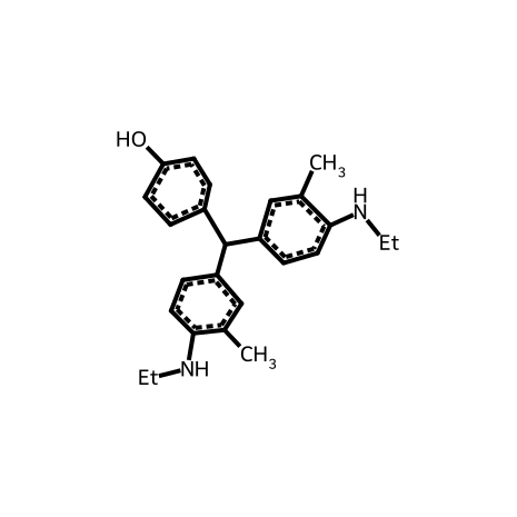 CCNc1ccc(C(c2ccc(O)cc2)c2ccc(NCC)c(C)c2)cc1C